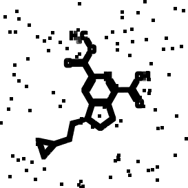 COC(=O)c1cc2c(c(C(=O)O)n1)CC[C@H]2CCC1CC1